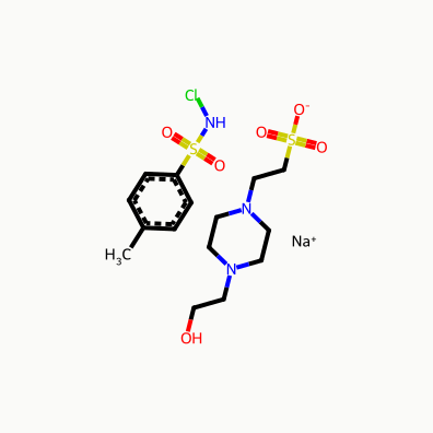 Cc1ccc(S(=O)(=O)NCl)cc1.O=S(=O)([O-])CCN1CCN(CCO)CC1.[Na+]